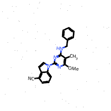 COc1nc(-n2ccc3c(C#N)cccc32)nc(NCc2ccccc2)c1C